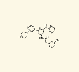 COc1cccc(CC(=O)Nc2cc(Nc3cnccn3)nc(-c3ccnc(N4CCNCC4)c3)c2)c1